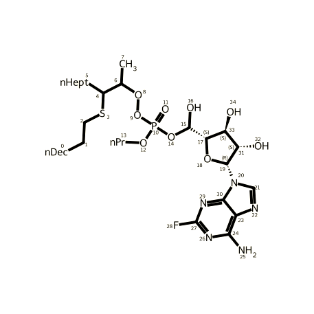 CCCCCCCCCCCCSC(CCCCCCC)C(C)OOP(=O)(OCCC)OC(O)[C@H]1O[C@@H](n2cnc3c(N)nc(F)nc32)[C@@H](O)[C@@H]1O